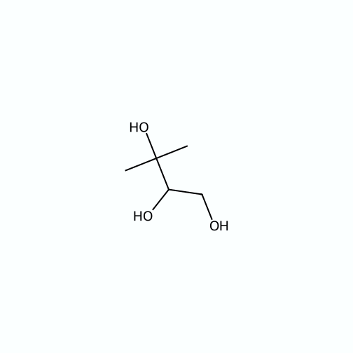 CC(C)(O)C(O)CO